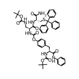 CC(C)(C)OC(=O)NC[C@H](NC(=O)Oc1ccc(C[C@H](NC(=O)OC(C)(C)C)C(=O)Nc2ccccc2)cc1)C(=O)N[C@@H](CSC(c1ccccc1)(c1ccccc1)c1ccccc1)C(N)=O